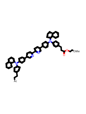 COCCOC(=O)CCc1ccc(N(c2ccc(-c3ccc(-c4ccc(-c5ccc(N(c6ccc(CCC(C)=O)cc6)c6cccc7ccccc67)cc5)cn4)nc3)cc2)c2cccc3ccccc23)cc1